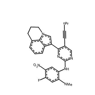 CCCC#Cc1cnc(Nc2cc([N+](=O)[O-])c(F)cc2NC)nc1-c1cn2c3c(cccc13)CCC2